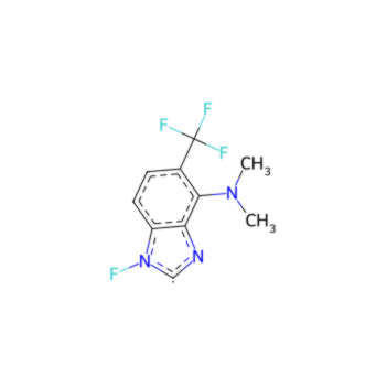 CN(C)c1c(C(F)(F)F)ccc2c1n[c]n2F